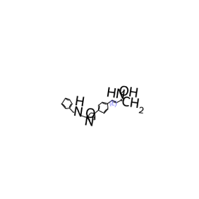 C=C(/C=C/c1ccc(-c2cnc(CNCc3ccccc3)o2)cc1)NO